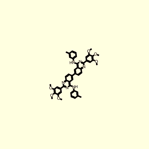 COc1cc(-c2nc(Nc3cccc(C)c3)c3cc(-c4ccc5nc(-c6cc(OC)c(OC)c(OC)c6)nc(Nc6cccc(C)c6)c5c4)ccc3n2)cc(OC)c1OC